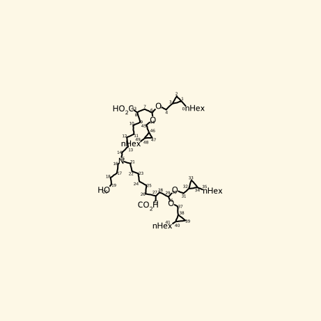 CCCCCCC1CC1COC(CC(CCCCCCN(CCCCO)CCCCCCC(CC(OCC1CC1CCCCCC)OCC1CC1CCCCCC)C(=O)O)C(=O)O)OCC1CC1CCCCCC